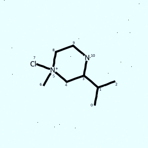 CC(C)C1C[N+](C)(Cl)CC[N]1